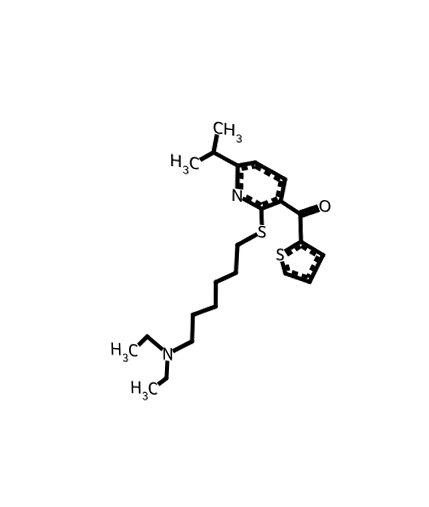 CCN(CC)CCCCCCSc1nc(C(C)C)ccc1C(=O)c1cccs1